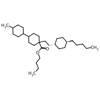 CCCCC[C@H]1CC[C@H](CCC2(C(=O)OCCCC)CCC(C3CCC(C)CC3)CC2)CC1